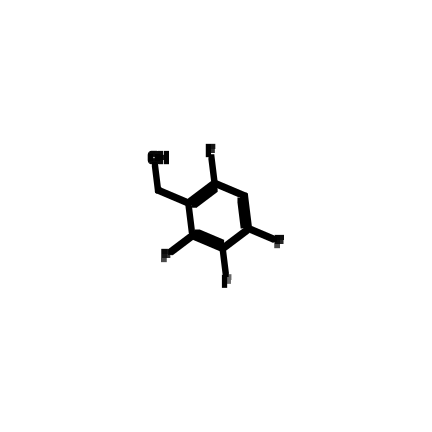 OCc1c(F)cc(F)c(F)c1F